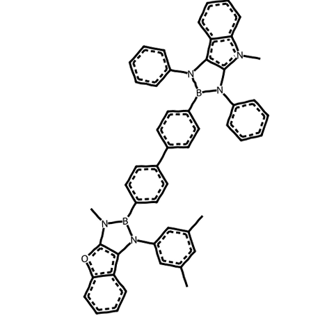 Cc1cc(C)cc(N2B(c3ccc(-c4ccc(B5N(c6ccccc6)c6c(n(C)c7ccccc67)N5c5ccccc5)cc4)cc3)N(C)c3oc4ccccc4c32)c1